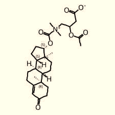 CC(=O)OC(CC(=O)[O-])C[N+](C)(C)C(=O)O[C@H]1CC[C@H]2[C@@H]3CCC4=CC(=O)CC[C@]4(C)[C@H]3CC[C@]12C